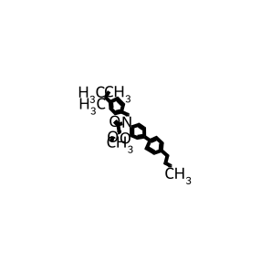 CCCCc1ccc(-c2ccc(N(Cc3ccc(C(C)(C)C)cc3)C(=O)C(=O)OC)cc2)cc1